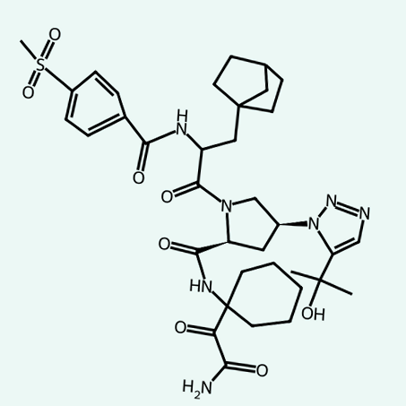 CC(C)(O)c1cnnn1[C@H]1C[C@@H](C(=O)NC2(C(=O)C(N)=O)CCCCC2)N(C(=O)C(CC23CCC(CC2)C3)NC(=O)c2ccc(S(C)(=O)=O)cc2)C1